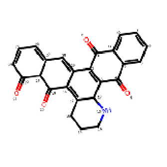 O=C1C2=C(C(=O)c3ccccc31)C1NCCCC1=C1C(=O)C3C(=O)C=CC=C3C=C12